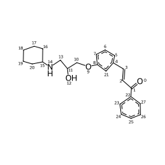 O=C(/C=C/c1cccc(OCC(O)CNC2CCCCC2)c1)c1ccccc1